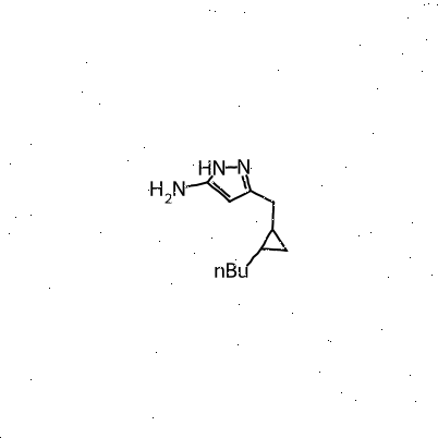 CCCCC1CC1Cc1cc(N)[nH]n1